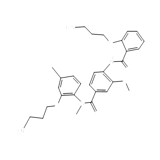 COc1cc(C(=O)N(C)c2ccc(C)cc2OCCCN)ccc1NC(=O)c1ccccc1OCCCN